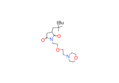 CC(C)(C)C(C)(C)CC1CC(=O)N(CCOCCN2CCOCC2)C1=O